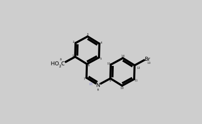 O=C(O)c1ccccc1/C=N\c1ccc(Br)cc1